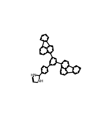 C1=CNC(c2ccc(-c3cc(-c4ccc5c6c(cccc46)-c4ccccc4-5)cc(-c4ccc5c6c(cccc46)-c4ccccc4-5)c3)cc2)NC1